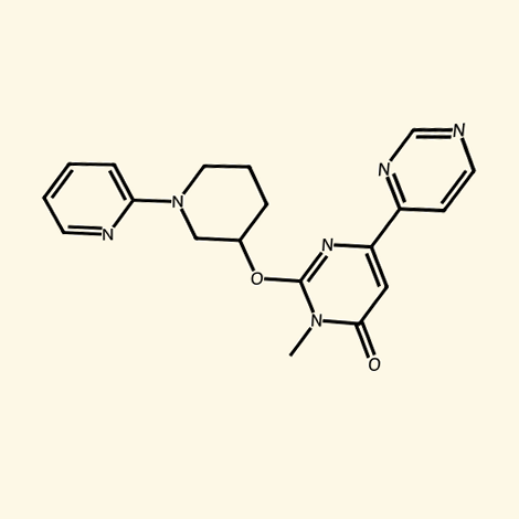 Cn1c(OC2CCCN(c3ccccn3)C2)nc(-c2ccncn2)cc1=O